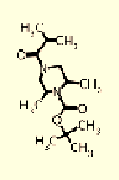 CC(C)C(=O)N1CC(C)N(C(=O)OC(C)(C)C)C(C)C1